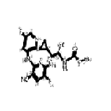 CC[C@H](NC(=O)OC(C)(C)C)[C@H](Nc1nc(Nc2cncc(F)c2)c(C#N)cc1F)C1CC1